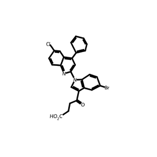 O=C(O)CCC(=O)c1cn(-c2cc(-c3ccccc3)c3cc(Cl)ccc3n2)c2ccc(Br)cc12